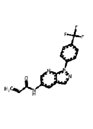 C=CC(=O)Nc1cnc2c(cnn2-c2ccc(C(F)(F)F)cc2)c1